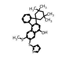 CSc1cc2c3c(cc(O)c2cc1Sc1cccs1)C1(CC(C)(C)CC(C)(C)C1)c1ccccc1-3